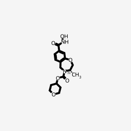 C[C@H]1COc2cc(C(=O)NO)ccc2CN1C(=O)OC1CCOCC1